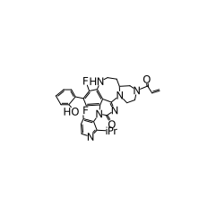 C=CC(=O)N1CCN2c3nc(=O)n(-c4c(C)ccnc4C(C)C)c4c(F)c(-c5ccccc5O)c(F)c(c34)NCCC2C1